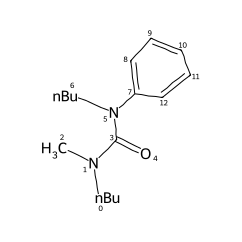 CCCCN(C)C(=O)N(CCCC)c1ccccc1